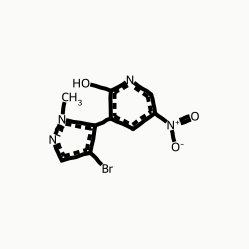 Cn1ncc(Br)c1-c1cc([N+](=O)[O-])cnc1O